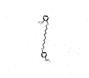 Nc1ccc(OCCCCCCCCCCOc2ccccc2N)cc1